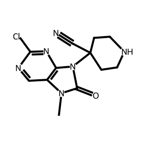 Cn1c(=O)n(C2(C#N)CCNCC2)c2nc(Cl)ncc21